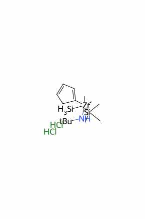 CC(C)(C)[NH][Zr]([CH3])([CH3])([SiH3])([C]1=CC=CC1)[Si](C)(C)C.Cl.Cl